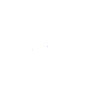 Cl.c1ccc(CNc2ccc(C3CC3)cn2)cc1